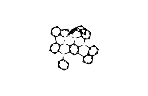 c1ccc(-c2cc3c(c4c2N(c2ccccc2)c2cccc5c2B4n2ccc4cccc-5c42)B2c4c(cccc4N3c3ccccc3)-c3cccc4ccn2c34)cc1